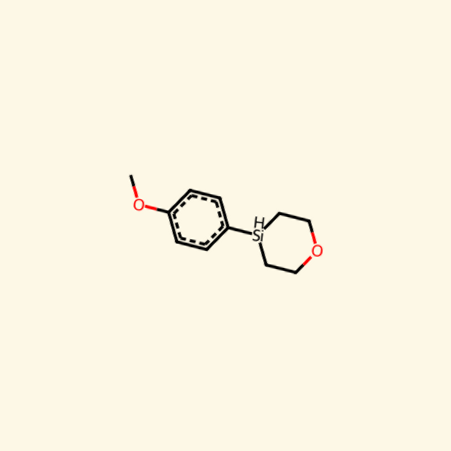 COc1ccc([SiH]2CCOCC2)cc1